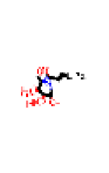 C=CCCN1CC(O)C(O)C(O)C1CO